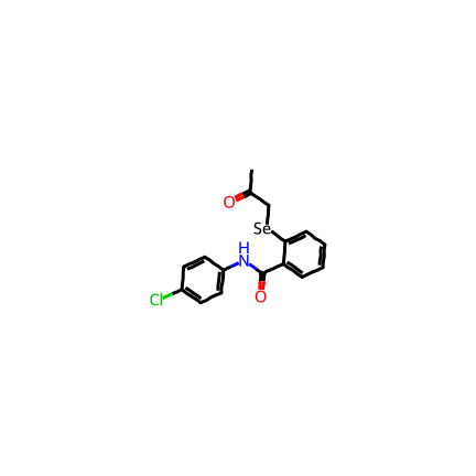 CC(=O)C[Se]c1ccccc1C(=O)Nc1ccc(Cl)cc1